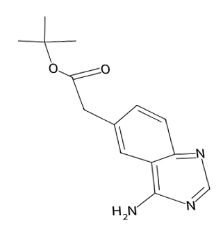 CC(C)(C)OC(=O)Cc1ccc2ncnc(N)c2c1